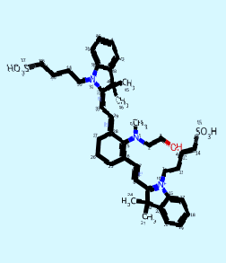 CN(CCO)C1=C(/C=C/C2=[N+](CCCCS(=O)(=O)O)c3ccccc3C2(C)C)CCC/C1=C\C=C1\N(CCCCS(=O)(=O)O)c2ccccc2C1(C)C